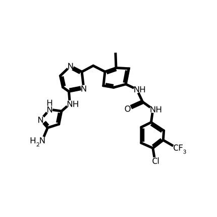 Cc1cc(NC(=O)Nc2ccc(Cl)c(C(F)(F)F)c2)ccc1Cc1nccc(Nc2cc(N)n[nH]2)n1